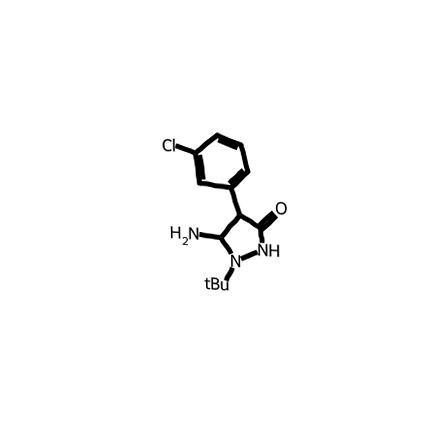 CC(C)(C)N1NC(=O)C(c2cccc(Cl)c2)C1N